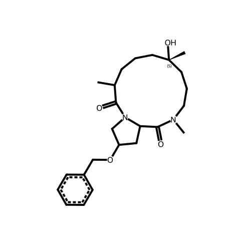 CC1CCC[C@](C)(O)CCCN(C)C(=O)C2CC(OCc3ccccc3)CN2C1=O